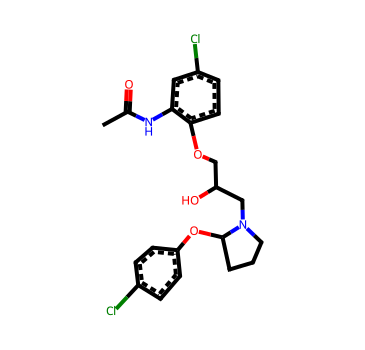 CC(=O)Nc1cc(Cl)ccc1OCC(O)CN1CCCC1Oc1ccc(Cl)cc1